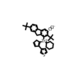 CC(C)(C)c1ccc2c(c1)Cc1c-2ccc(C(C)(C)C)[c]1[Zr+2]([C]1=C(c2ccsc2)C=CC1)=[C]1CCCCC1.[Cl-].[Cl-]